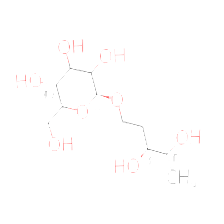 C[C@@H](O)[C@@H](O)CCO[C@H]1OC(CO)[C@H](O)C(O)C1O